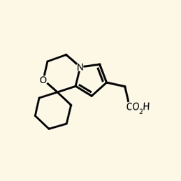 O=C(O)Cc1cc2n(c1)CCOC21CCCCC1